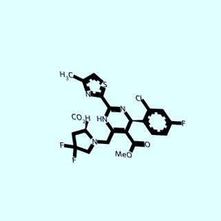 COC(=O)C1=C(CN2CC(F)(F)C[C@H]2C(=O)O)NC(c2nc(C)cs2)=N[C@H]1c1ccc(F)cc1Cl